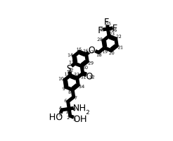 NC(CO)(CO)CCc1ccc2sc3ccc(OCc4cccc(C(F)(F)F)c4)cc3c(=O)c2c1